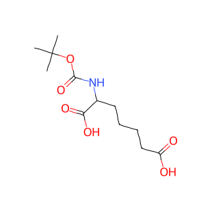 CC(C)(C)OC(=O)NC(CCCCC(=O)O)C(=O)O